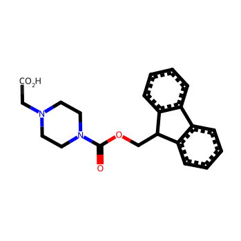 O=C(O)CN1CCN(C(=O)OCC2c3ccccc3-c3ccccc32)CC1